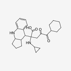 O=C(CC(NC1CC1)(C(=O)O)C1c2ccccc2NC2CCCC21)C(=O)C1CCCCC1